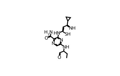 CCC(C=O)Nc1cnc(C(N)=O)c(N/C(S)=C/C(=N)C2CC2)n1